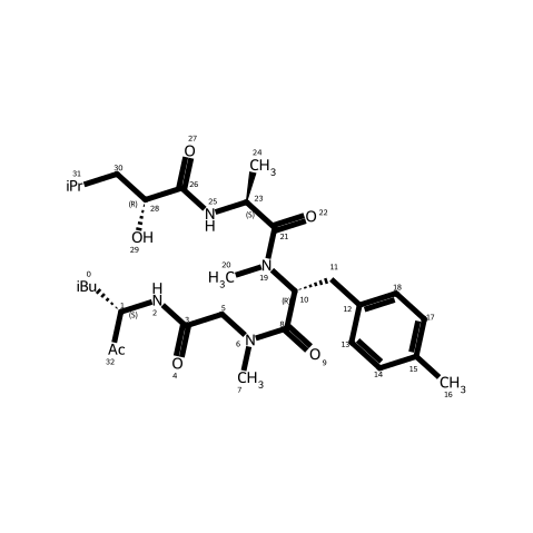 CCC(C)[C@H](NC(=O)CN(C)C(=O)[C@@H](Cc1ccc(C)cc1)N(C)C(=O)[C@H](C)NC(=O)[C@H](O)CC(C)C)C(C)=O